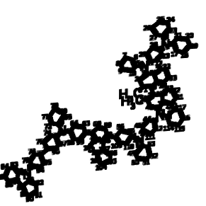 Cc1cc(N(c2ccccc2)c2ccc(N(c3ccccc3)c3ccccc3)cc2)c2ccccc2c1-c1c(C)cc(N(c2ccc(N(c3ccccc3)c3ccc(-c4ccc(-c5ccc(N(c6ccccc6)c6ccc(-c7ccc(-n8c9ccccc9c9ccccc98)cc7)cc6)cc5)c5sc6ccccc6c45)cc3)cc2)C2C=CC=CC2)c2ccccc12